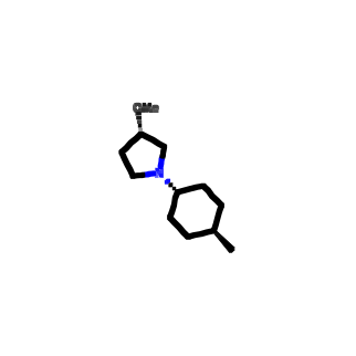 CO[C@H]1CCN([C@H]2CC[C@H](C)CC2)C1